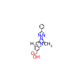 C[C@@H]1CN(c2ncc(-c3ccccc3)cn2)C[C@H](C)N1Cc1cccc(CC(=O)O)c1